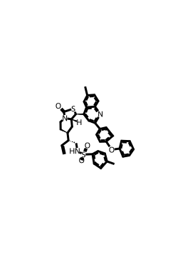 C=C[C@@H](CNS(=O)(=O)c1ccc(C)cc1)[C@H]1CCN2C(=O)S[C@@H](c3cc(-c4ccc(Oc5ccccc5)cc4)nc4ccc(C)cc34)[C@@H]2C1